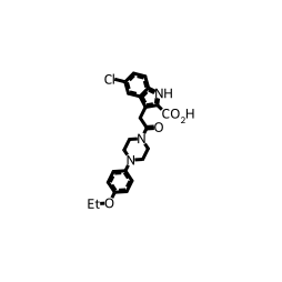 CCOc1ccc(N2CCN(C(=O)Cc3c(C(=O)O)[nH]c4ccc(Cl)cc34)CC2)cc1